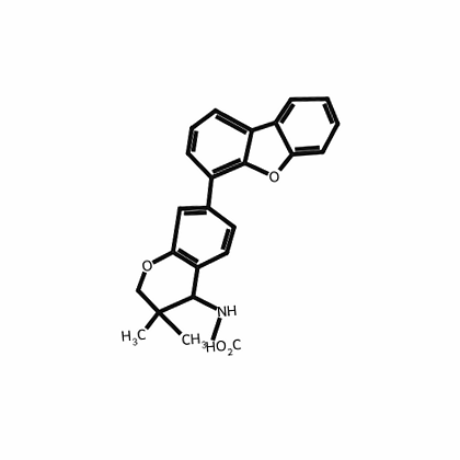 CC1(C)COc2cc(-c3cccc4c3oc3ccccc34)ccc2C1NC(=O)O